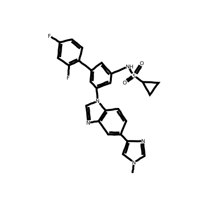 Cn1cnc(-c2ccc3c(c2)ncn3-c2cc(NS(=O)(=O)C3CC3)cc(-c3ccc(F)cc3F)c2)c1